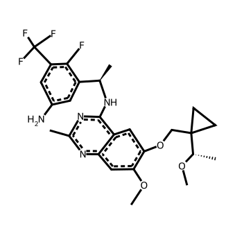 COc1cc2nc(C)nc(N[C@H](C)c3cc(N)cc(C(F)(F)F)c3F)c2cc1OCC1([C@H](C)OC)CC1